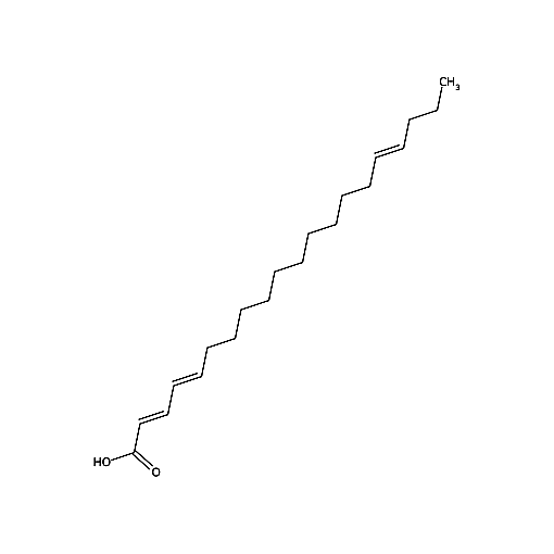 CCC/C=C/CCCCCCCCCC/C=C/C=C/C(=O)O